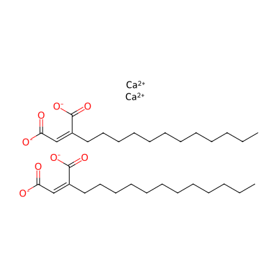 CCCCCCCCCCCCC(=CC(=O)[O-])C(=O)[O-].CCCCCCCCCCCCC(=CC(=O)[O-])C(=O)[O-].[Ca+2].[Ca+2]